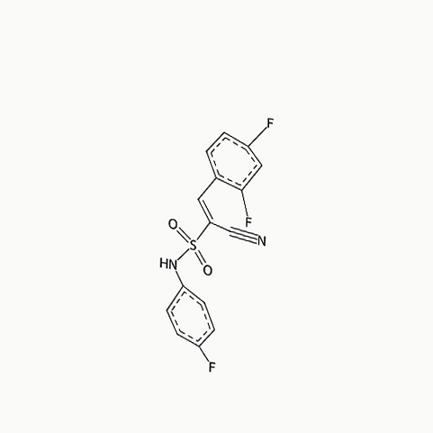 N#CC(=Cc1ccc(F)cc1F)S(=O)(=O)Nc1ccc(F)cc1